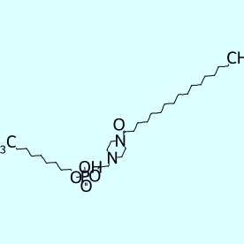 CCCCCCCCCCCCCCCCC(=O)N1CCN(CCOP(=O)(O)OCCCCCCCCC)CC1